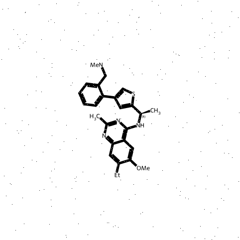 CCc1cc2nc(C)nc(N[C@H](C)c3cc(-c4ccccc4CNC)cs3)c2cc1OC